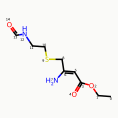 CCOC(=O)C=C(N)CSCCNC=O